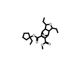 CCC1OC(CC)C2C3OC(C(C(=O)OC)C3C(=O)OC3(CC)CCCC3)C12